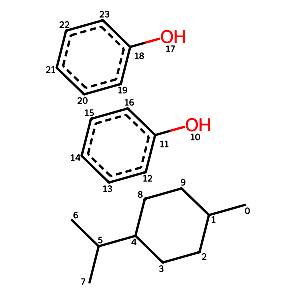 CC1CCC(C(C)C)CC1.Oc1ccccc1.Oc1ccccc1